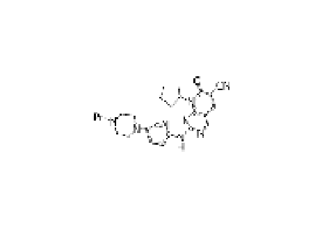 CC(C)N1CCN(c2ccc(Nc3ncc4cc(C#N)c(=O)n(C5CCCC5)c4n3)nc2)CC1